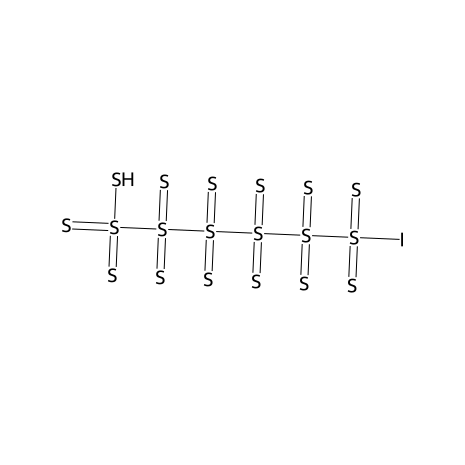 S=S(=S)(S)S(=S)(=S)S(=S)(=S)S(=S)(=S)S(=S)(=S)S(=S)(=S)I